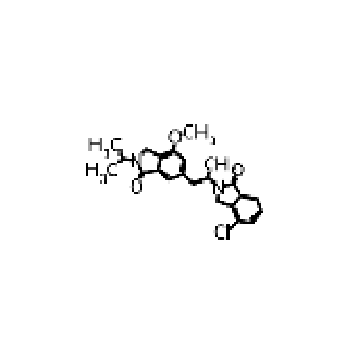 COc1cc(CC(C)N2Cc3c(Cl)cccc3C2=O)cc2c1CN(C(C)C)C2=O